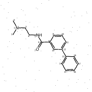 CN(C)CCNC(=O)c1[c]ccc(-c2ccccc2)c1